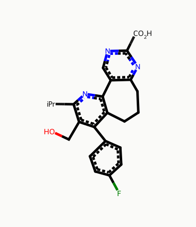 CC(C)c1nc2c(c(-c3ccc(F)cc3)c1CO)CCCc1nc(C(=O)O)ncc1-2